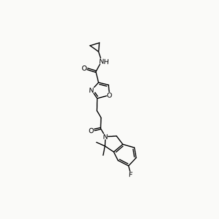 CC1(C)c2cc(F)ccc2CN1C(=O)CCc1nc(C(=O)NC2CC2)co1